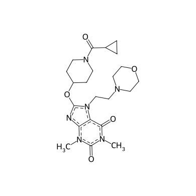 Cn1c(=O)c2c(nc(OC3CCN(C(=O)C4CC4)CC3)n2CCN2CCOCC2)n(C)c1=O